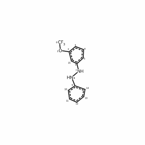 FC(F)(F)Oc1cccc(NNc2ccccc2)c1